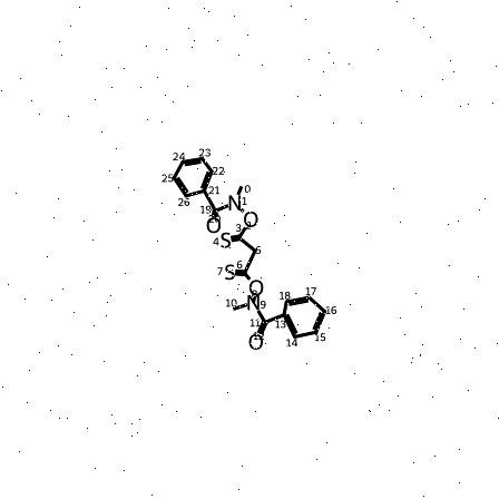 CN(OC(=S)CC(=S)ON(C)C(=O)c1ccccc1)C(=O)c1ccccc1